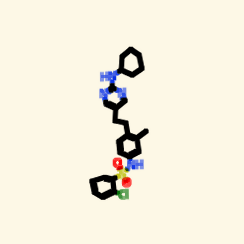 Cc1cc(NS(=O)(=O)c2ccccc2Cl)ccc1CCc1cnc(NC2CCCCC2)nc1